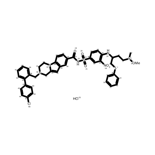 CON(C)CCC(CSc1ccccc1)Nc1ccc(S(=O)(=O)NC(=O)c2ccc3c(c2)cc2n3CCN(Cc3ccccc3-c3ccc(Cl)cc3)C2)cc1[N+](=O)[O-].Cl